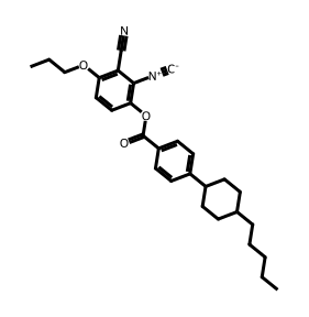 [C-]#[N+]c1c(OC(=O)c2ccc(C3CCC(CCCCC)CC3)cc2)ccc(OCCC)c1C#N